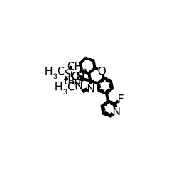 CN1C=NC2(C1=O)c1cc(-c3cccnc3F)ccc1OC1CCCC(O[Si](C)(C)C(C)(C)C)C12